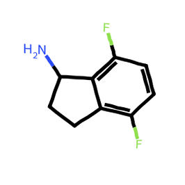 NC1CCc2c(F)ccc(F)c21